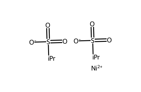 CC(C)S(=O)(=O)[O-].CC(C)S(=O)(=O)[O-].[Ni+2]